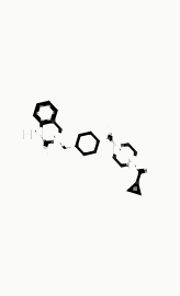 O=C(C1CC1)N1CCN(C(=O)[C@H]2CC[C@H](CN3Cc4ccccc4NC3=O)CC2)CC1